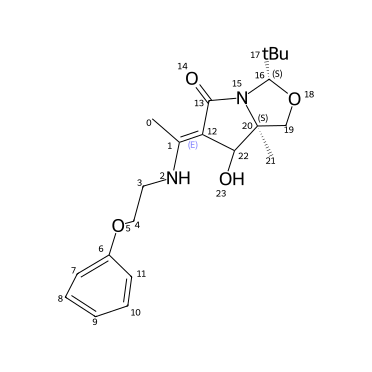 C/C(NCCOc1ccccc1)=C1\C(=O)N2[C@H](C(C)(C)C)OC[C@@]2(C)C1O